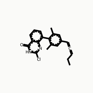 CCC=C=Cc1cc(C)c(-c2cccc3c(=O)[nH]c(Cl)nc23)c(C)c1